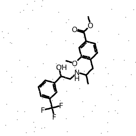 COC(=O)c1ccc(CC(C)NCC(O)c2cccc(C(F)(F)F)c2)c(OC)c1